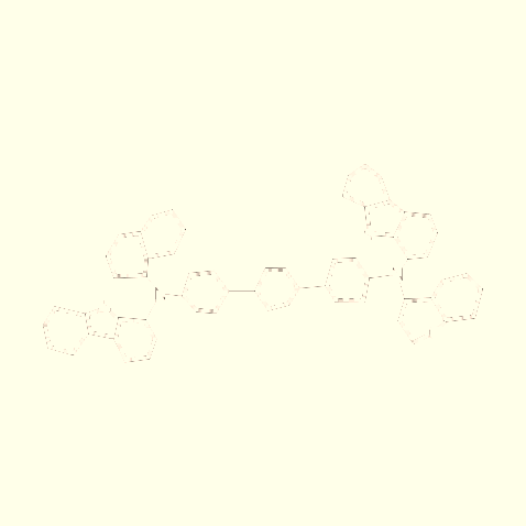 c1ccc2c(N(c3ccc(-c4ccc(-c5ccc(N(c6cccc7ccccc67)c6cccc7c6sc6ccccc67)cc5)cc4)cc3)c3cccc4c3sc3ccccc34)cccc2c1